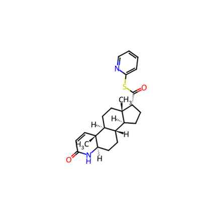 C[C@]12C=CC(=O)N[C@@H]1CC[C@@H]1[C@@H]2CC[C@]2(C)[C@H](C(=O)Sc3ccccn3)CC[C@@H]12